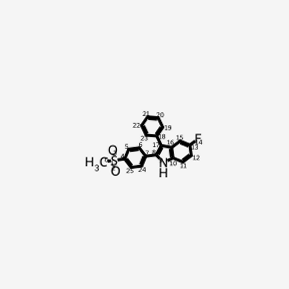 CS(=O)(=O)c1ccc(-c2[nH]c3ccc(F)cc3c2-c2ccccc2)cc1